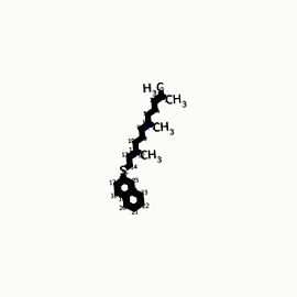 CC(C)=CCC/C(C)=C/CC/C(C)=C/CSc1ccc2ccccc2c1